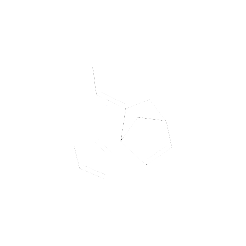 C/C=C1\CC2C=CC1C2.C=C.C=CC